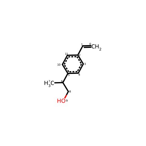 C=Cc1ccc(C(C)CO)cc1